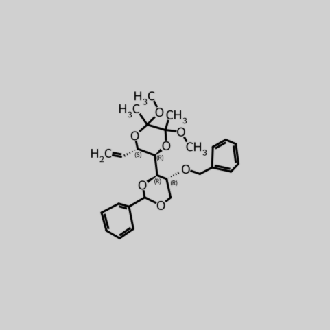 C=C[C@@H]1OC(C)(OC)C(C)(OC)O[C@H]1[C@@H]1OC(c2ccccc2)OC[C@H]1OCc1ccccc1